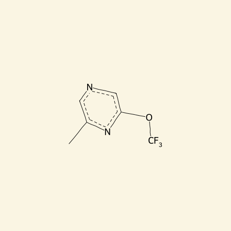 Cc1cncc(OC(F)(F)F)n1